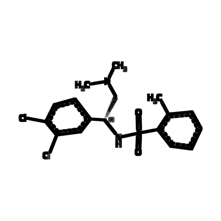 Cc1ccccc1S(=O)(=O)N[C@@H](CN(C)C)c1ccc(Cl)c(Cl)c1